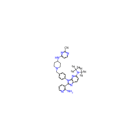 [2H]C([2H])([2H])N(c1ccc2nc(-c3cccnc3N)n(-c3ccc(CN4CCC(Nc5ccnc(C#N)n5)CC4)cc3)c2n1)C([2H])([2H])[2H]